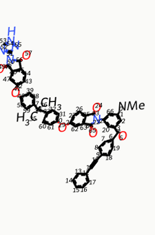 CNc1cc(C(=O)c2ccc(C#Cc3ccccc3)cc2)cc(N2C(=O)c3ccc(Oc4ccc(C(C)(C)c5ccc(Oc6ccc7c(c6)C(=O)N(c6nc[nH]n6)C7=O)cc5)cc4)cc3C2=O)c1